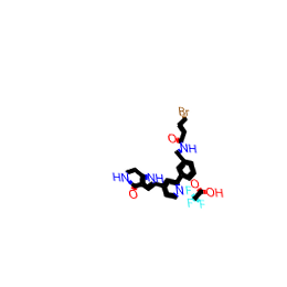 O=C(/C=C/CBr)NCc1cccc(-c2cc(-c3cc4c([nH]3)CCNC4=O)ccn2)c1.O=C(O)C(F)(F)F